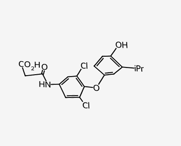 CC(C)c1cc(Oc2c(Cl)cc(NC(=O)CC(=O)O)cc2Cl)ccc1O